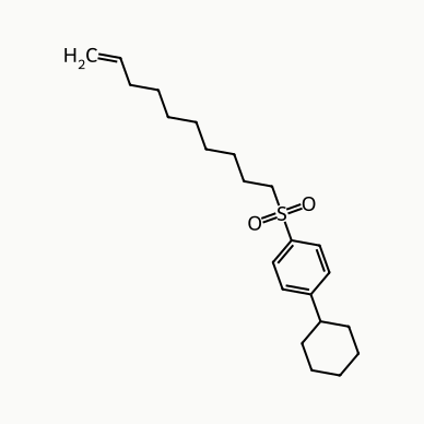 C=CCCCCCCCCS(=O)(=O)c1ccc(C2CCCCC2)cc1